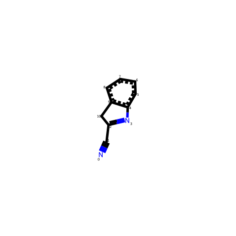 N#CC1=Nc2ccccc2C1